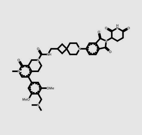 COc1cc(-c2cn(C)c(=O)c3c2CCN(C(=O)NCC2CC4(CCN(c5ccc6c(c5)C(=O)N(C5CCC(=O)NC5=O)C6=O)CC4)C2)C3)cc(OC)c1CN(C)C